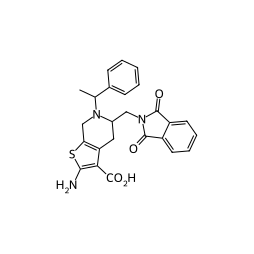 CC(c1ccccc1)N1Cc2sc(N)c(C(=O)O)c2CC1CN1C(=O)c2ccccc2C1=O